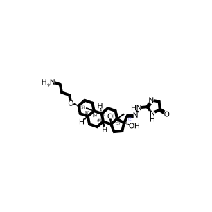 C[C@]12CC[C@H](OCCCN)C[C@H]1CC[C@@H]1[C@@H]2CC[C@]2(C)[C@@](O)(/C=N/NC3=NCC(=O)N3)CC[C@]12O